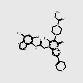 CCc1c(N2CCN(C(=O)OC(C)(C)C)CC2)c(=O)n2nc(C3=CCOCC3)nc2n1CC(=O)Nc1c(Cl)cc(C(F)(F)F)c2scnc12